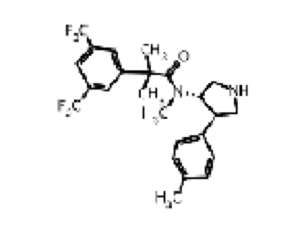 Cc1ccc([C@@H]2CNC[C@H]2N(C)C(=O)C(C)(C)c2cc(C(F)(F)F)cc(C(F)(F)F)c2)cc1